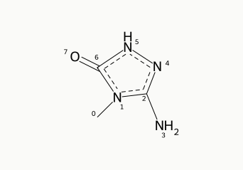 Cn1c(N)n[nH]c1=O